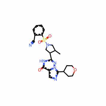 CC1CN(S(=O)(=O)c2ccccc2C#N)CC1c1nn2c(C3CCOCC3)ncc2c(=O)[nH]1